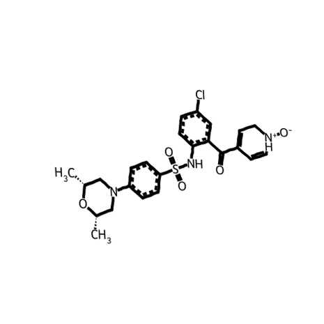 C[C@@H]1CN(c2ccc(S(=O)(=O)Nc3ccc(Cl)cc3C(=O)C3=CC[NH+]([O-])C=C3)cc2)C[C@H](C)O1